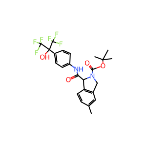 Cc1ccc2c(c1)CN(C(=O)OC(C)(C)C)C2C(=O)Nc1ccc(C(O)(C(F)(F)F)C(F)(F)F)cc1